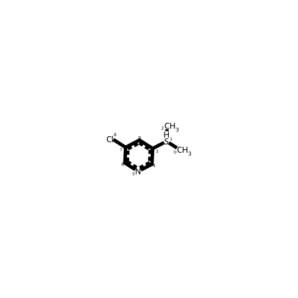 C[SH](C)c1cncc(Cl)c1